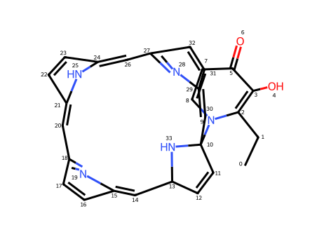 CCc1c(O)c(=O)ccn1C12C=CC(C=C3C=CC(=N3)C=c3ccc([nH]3)=CC3=NC(=C1)C=C3)N2